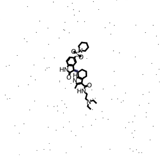 CCN(CC)CCNC(=O)c1c(C)[nH]c2c1CCC/C2=C1/C(=O)Nc2ccc(S(=O)(=O)N3CCCCC3)cc21